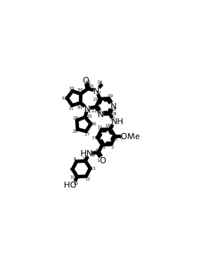 COc1cc(C(=O)NC2CCC(O)CC2)ccc1Nc1ncc2c(n1)N(C1CCCC1)C1CCCC1C(=O)N2C